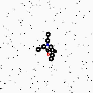 c1ccc(-c2ccc(N(c3ccc(-c4ccccc4)cc3)c3ccc4c(c3)C3(c5ccccc5Oc5c3ccc3ccccc53)c3ccccc3-4)cc2)cc1